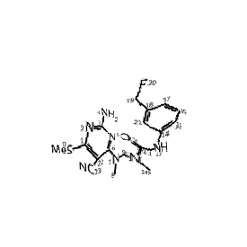 CSc1nc(N)nc(N(C)N(C)C(=O)Nc2cccc(CF)c2)c1C#N